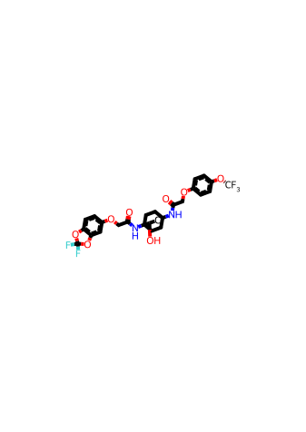 O=C(COc1ccc(OC(F)(F)F)cc1)NC12CCC(NC(=O)COc3ccc4c(c3)OC(F)(F)O4)(CC1)C(O)C2